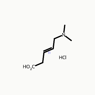 CN(C)C/C=C/CC(=O)O.Cl